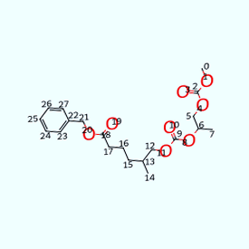 COC(=O)OCC(C)OC(=O)OCC(C)CCCC(=O)OCc1ccccc1